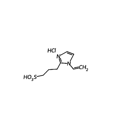 C=Cn1ccnc1CCCS(=O)(=O)O.Cl